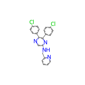 Clc1ccc(-c2ncc(NCc3ccccn3)nc2-c2ccc(Cl)cc2)cc1